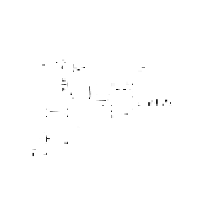 CC(=O)Nc1ccc(S(=O)(=O)N(C2CCN(C(C)C)CC2)[C@H]2CCNC2=O)cc1Cl